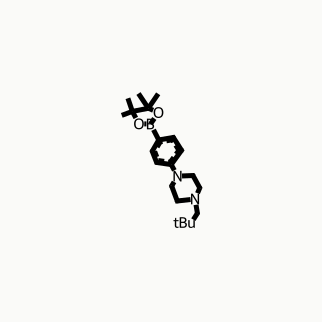 CC(C)(C)CN1CCN(c2ccc(B3OC(C)(C)C(C)(C)O3)cc2)CC1